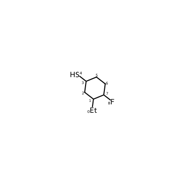 CCC1CC(S)CCC1F